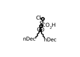 CCCCCCCCCCCCCCCCN(CCCCCCCCCCCCCCCC)S(=O)(=O)c1ccc(SCc2cccc(Cl)c2)c(C(=O)O)c1